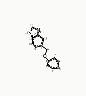 [CH](Oc1ccccc1)c1ccc2scnc2c1